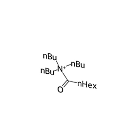 CCCCCCC(=O)[N+](CCCC)(CCCC)CCCC